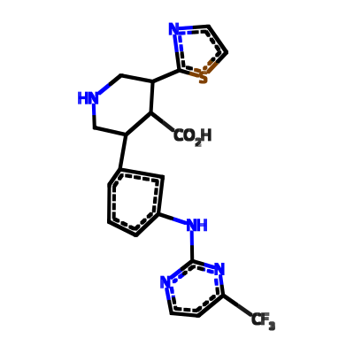 O=C(O)C1C(c2cccc(Nc3nccc(C(F)(F)F)n3)c2)CNCC1c1nccs1